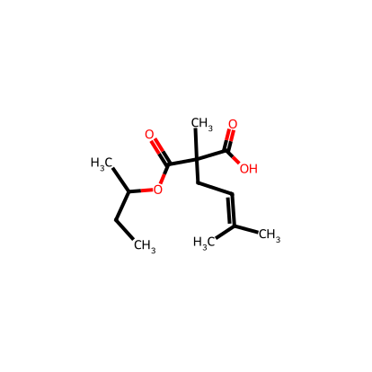 CCC(C)OC(=O)C(C)(CC=C(C)C)C(=O)O